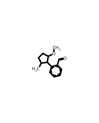 COC1CCC(C)C1c1ccccc1C=O